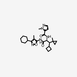 Cc1c(C2CCCCC2)noc1NC(=O)[C@@H](NC(=O)c1ccnn1C)C(C1CCC1)C1(C)CC1